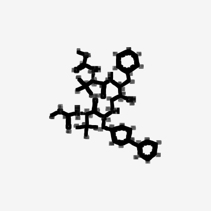 COC(=O)N[C@H](C(=O)N[C@@H](Cc1ccccc1)[C@@H](O)CNN(Cc1ccc(-c2ccccn2)cc1)C(=O)[C@@H](NC(=O)OC)C(C)(C)C)C(C)(C)C